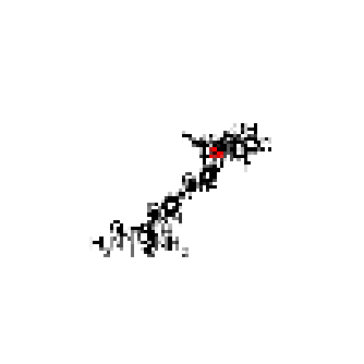 CCCC1O[C@@H]2C[C@H]3[C@@H]4C[C@H](F)C5=CC(=O)C=C[C@]5(C)[C@@]4(F)[C@@H](O)C[C@]3(C)[C@]2(C(=O)COc2ccc(NC(=O)OCc3ccc(NC(=O)[C@H](CCCNC(N)=O)NC(=O)C(N)C(C)C)cc3)cc2)O1